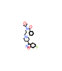 O=C(c1ccccc1)N(CCCN1CCC(c2noc3cc(F)ccc23)CC1)C1COC1